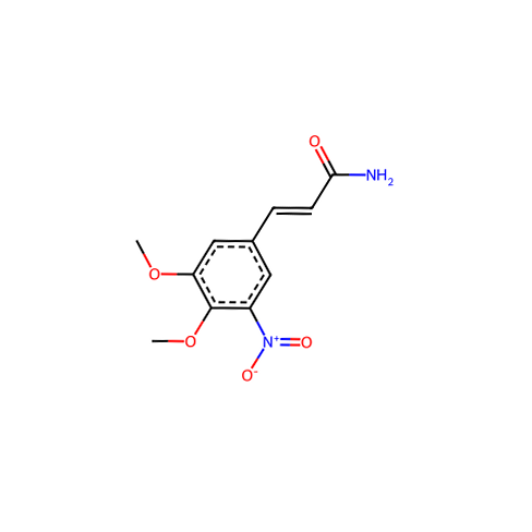 COc1cc(C=CC(N)=O)cc([N+](=O)[O-])c1OC